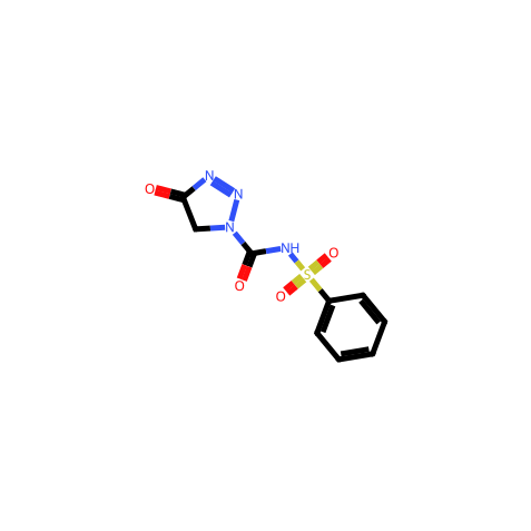 O=C1CN(C(=O)NS(=O)(=O)c2ccccc2)N=N1